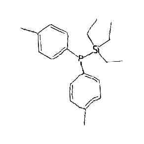 CC[Si](CC)(CC)P(c1ccc(C)cc1)c1ccc(C)cc1